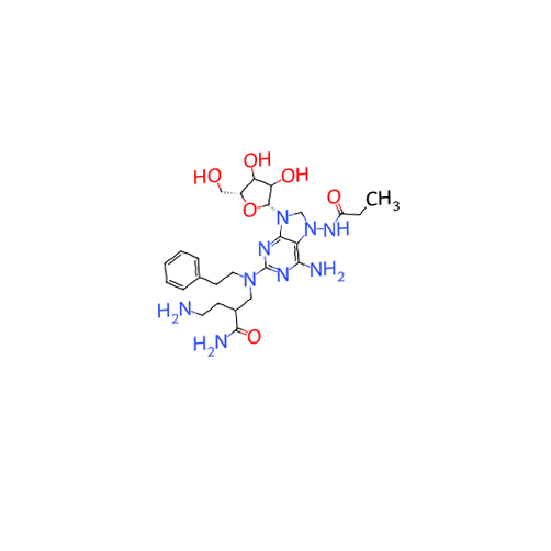 CCC(=O)NN1CN([C@@H]2O[C@H](CO)C(O)C2O)c2nc(N(CCc3ccccc3)CC(CCN)C(N)=O)nc(N)c21